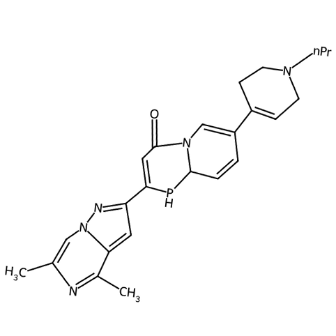 CCCN1CC=C(C2=CN3C(=O)C=C(c4cc5c(C)nc(C)cn5n4)PC3C=C2)CC1